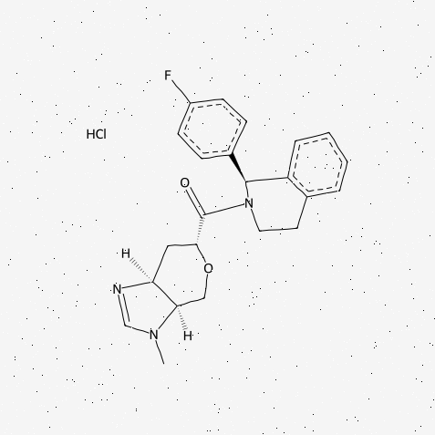 CN1C=N[C@H]2C[C@H](C(=O)N3CCc4ccccc4[C@@H]3c3ccc(F)cc3)OC[C@H]21.Cl